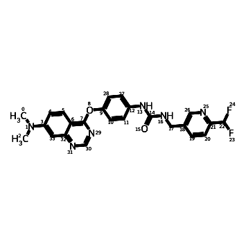 CN(C)c1ccc2c(Oc3ccc(NC(=O)NCc4ccc(C(F)F)nc4)cc3)ncnc2c1